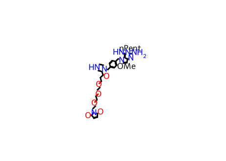 CCCCCNc1nc(N)nc2ccn(Cc3ccc(CN4CCNCC4C(=O)CCOCCOCCOCCN4C(=O)C=CC4=O)cc3OC)c12